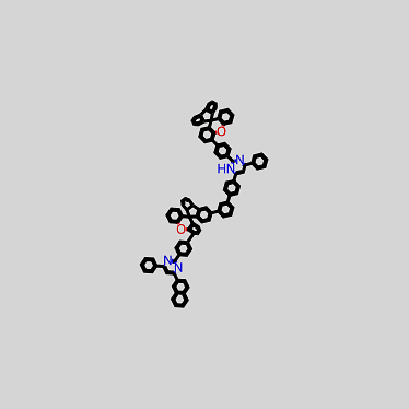 C1=CC2c3cc(-c4cccc(-c5ccc(C6=CC(c7ccccc7)=NC(c7ccc(-c8cccc9c8Oc8ccccc8C98c9ccccc9-c9ccccc98)cc7)N6)cc5)c4)ccc3C3(c4ccccc4Oc4c(-c5ccc(-c6nc(-c7ccccc7)cc(-c7ccc8ccccc8c7)n6)cc5)cccc43)C2C=C1